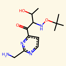 CC(O)C(NOC(C)(C)C)C(=O)c1ccnc(CN)n1